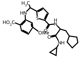 COc1ccc(C(=O)O)c(NC(C)c2ccc(C(=O)NC(CC3CCCC3)C(=O)NC3CC3)s2)c1